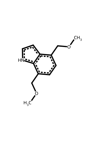 COCc1ccc(COC)c2[nH]ccc12